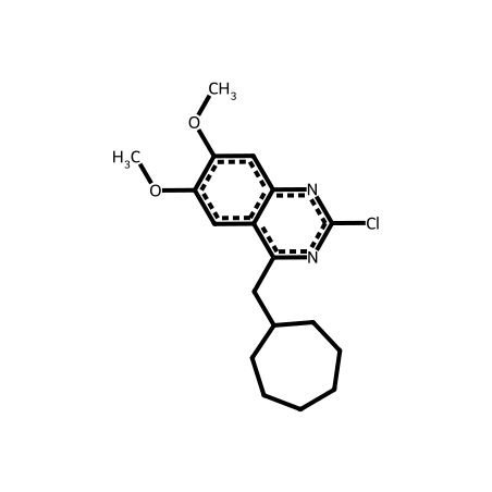 COc1cc2nc(Cl)nc(CC3CCCCCC3)c2cc1OC